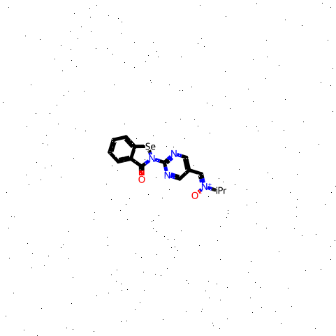 CC(C)[N+]([O-])=Cc1cnc(-n2[se]c3ccccc3c2=O)nc1